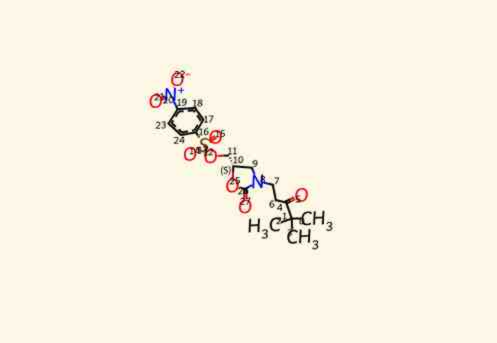 CC(C)(C)C(=O)CCN1C[C@@H](COS(=O)(=O)c2ccc([N+](=O)[O-])cc2)OC1=O